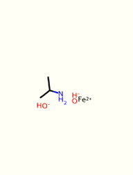 CC(C)N.[Fe+2].[OH-].[OH-]